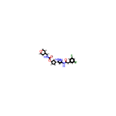 O=C(Cc1cc(F)cc(F)c1)Nc1cc([C@@H]2CC[C@H](OC(=O)NCC3CCOCC3)C2)[nH]n1